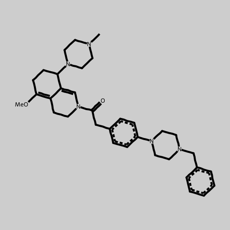 COC1=C2CCN(C(=O)Cc3ccc(N4CCN(Cc5ccccc5)CC4)cc3)C=C2C(N2CCN(C)CC2)CC1